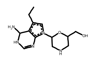 CCc1cn(C2CNCC(CO)O2)c2c1C(N)NC=N2